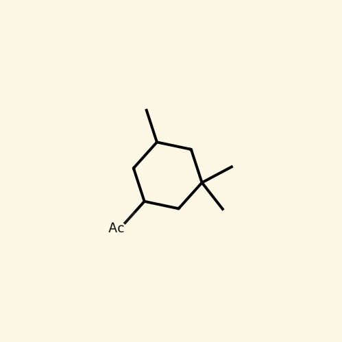 CC(=O)C1CC(C)CC(C)(C)C1